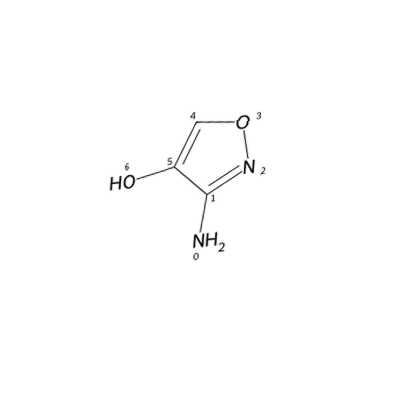 Nc1nocc1O